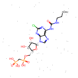 CCCCCCCCCCCCNC(=O)Nc1nc(Cl)nc2c1ncn2[C@@H]1O[C@H](COP(=O)(O)CP(=O)(O)O)[C@H](O)[C@@H]1O